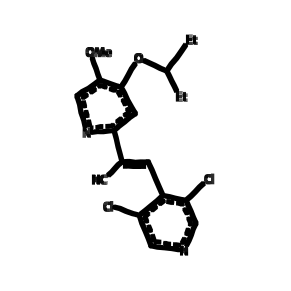 CCC(CC)Oc1cc(C(C#N)=Cc2c(Cl)cncc2Cl)ncc1OC